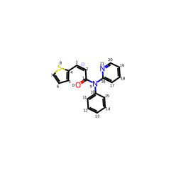 O=C(/C=C\c1cccs1)N(c1ccccc1)c1ccccn1